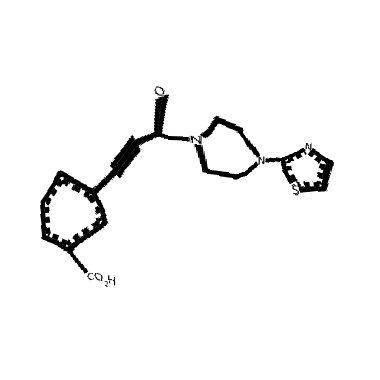 O=C(O)c1cccc(C#CC(=O)N2CCN(c3nccs3)CC2)c1